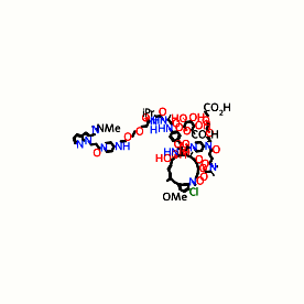 CNN(C)Cc1cc2cccnc2n1CCC(=O)N1CCC(NCCOCCOCCC(=O)N[C@H](C(=O)N[C@@H](C)C(=O)Nc2ccc(COC(=O)N3CCC(N(CCOCCOCCC(=O)O)C(=O)CCC(=O)N(C)[C@@H](C)C(=O)O[C@H]4CC(=O)N(C)c5cc(cc(OC)c5Cl)C/C(C)=C/C=C/[C@@H](O)[C@@]5(O)C[C@H](OC(=O)N5)[C@@H](C)C5O[C@]54C)CC3)cc2O[C@@H]2O[C@H](C(=O)O)[C@@H](O)[C@H](O)[C@H]2O)C(C)C)CC1